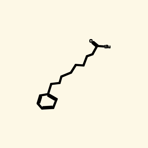 CC(C)(C)C(=O)CCCCCCCCc1ccccc1